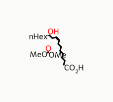 CCCCCC[C@@H](O)C/C=C\CCCCCCCC(=O)O.COC(=O)OC